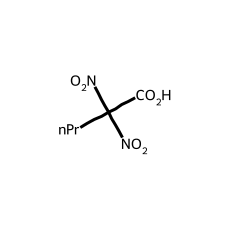 CCCC(C(=O)O)([N+](=O)[O-])[N+](=O)[O-]